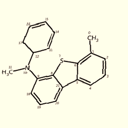 Cc1cccc2c1sc1c(N(C)C3C=CC=CC3)cccc12